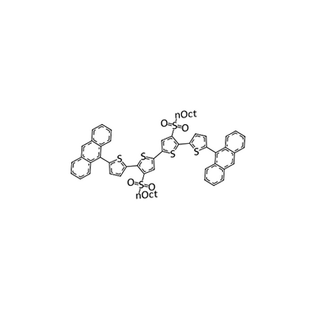 CCCCCCCCS(=O)(=O)c1cc(-c2cc(S(=O)(=O)CCCCCCCC)c(-c3ccc(-c4c5ccccc5cc5ccccc45)s3)s2)sc1-c1ccc(-c2c3ccccc3cc3ccccc23)s1